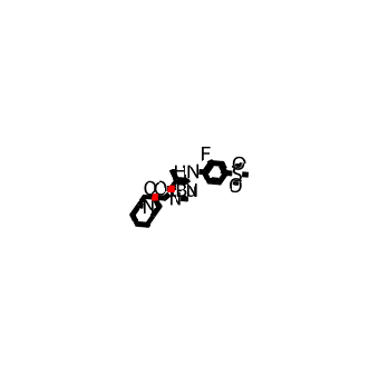 Cc1c(Nc2ccc(S(C)(=O)=O)cc2F)ncnc1OC1CC2CCCC(C1)N2C(=O)CC(C)(C)C